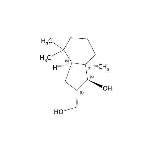 CC1(C)CCC[C@@]2(C)[C@@H](O)[C@H](CO)C[C@@H]12